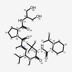 C/C(=C\[C@H](C(C)C)N(C)C(=O)[C@@H](NC(=O)[C@H]1CCCCN1C(C)C)C(C)(C)C)C(=O)N1CCC[C@H]1C(=O)NC(CO)CO